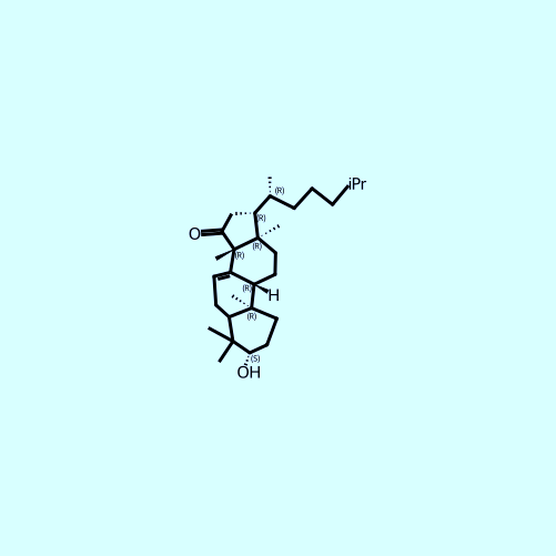 CC(C)CCC[C@@H](C)[C@H]1CC(=O)[C@@]2(C)C3=CCC4C(C)(C)[C@@H](O)CC[C@]4(C)[C@H]3CC[C@]12C